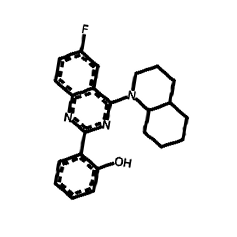 Oc1ccccc1-c1nc(N2CCCC3CCCCC32)c2cc(F)ccc2n1